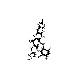 Cc1nc2cc(Cl)c(Nc3cc(=O)n(Cc4ncn(C)n4)c(=O)n3Cc3cc(F)c(F)cc3F)cc2s1